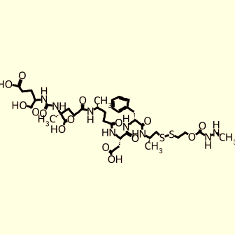 CNNC(=O)OCCSSC[C@H](C)NC(=O)[C@@H](Cc1ccccc1)NC(=O)[C@H](CC(=O)O)NC(=O)CC[C@@H](C)NC(=O)CC[C@](C)(NC(=O)NC(CCC(=O)O)C(=O)O)C(=O)O